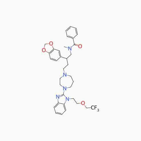 CN(CC(CCN1CCCN(c2nc3ccccc3n2CCOCC(F)(F)F)CC1)c1ccc2c(c1)OCO2)C(=O)c1ccccc1